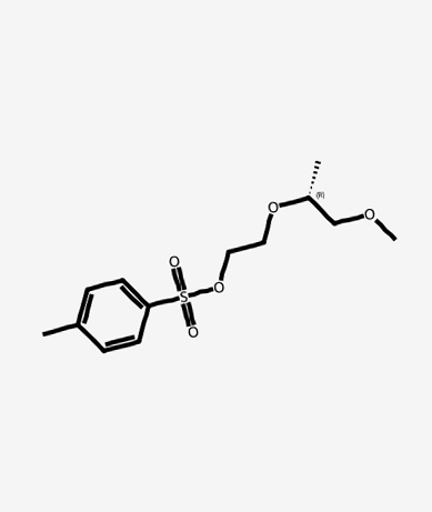 COC[C@@H](C)OCCOS(=O)(=O)c1ccc(C)cc1